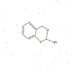 CC(C)C1OCc2ccccc2S1